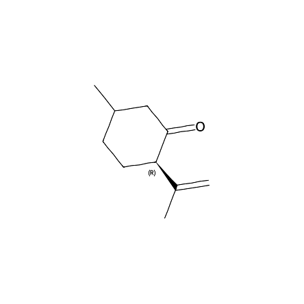 C=C(C)[C@H]1CCC(C)CC1=O